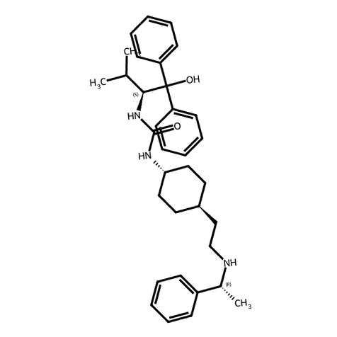 CC(C)[C@H](NC(=O)N[C@H]1CC[C@H](CCN[C@H](C)c2ccccc2)CC1)C(O)(c1ccccc1)c1ccccc1